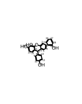 O=C(O)c1ccccc1C(c1ccc(O)cc1)c1ccc(O)cc1.Oc1ccccc1